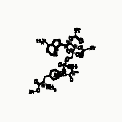 COC(=O)[C@H](C)NP(=O)(OC[C@@]1(C#N)O[C@@H](c2ccc3c(N)ncnn23)[C@H](OC(=O)C(C)C)[C@@H]1OC(=O)C(C)C)Oc1ccc(C[C@H](N)C(=O)OC(C)C)cc1